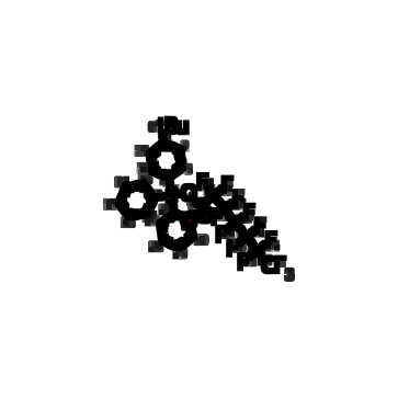 CC(C)(C)c1ccc(S(OS(=O)(=O)C(F)(F)C(F)(F)C(F)(F)C(F)(F)C(F)(F)C(F)(F)F)(c2ccccc2)c2ccccc2)cc1